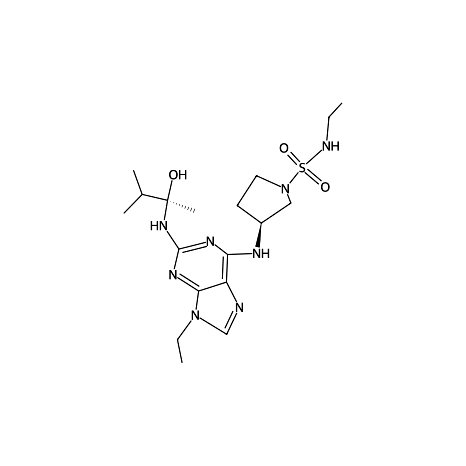 CCNS(=O)(=O)N1CC[C@H](Nc2nc(N[C@](C)(O)C(C)C)nc3c2ncn3CC)C1